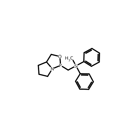 C[Si](CP1OCC2CCCN21)(c1ccccc1)c1ccccc1